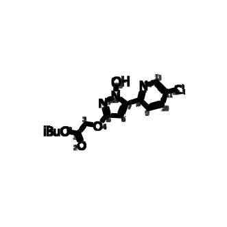 CC(C)COC(=O)COc1cc(-c2ccc(Cl)cn2)n(O)n1